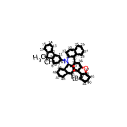 CC(C)(C)c1ccc(N(c2ccc3c(c2)-c2ccccc2C3(C)C)c2ccc3ccccc3c2-c2ccc3c(c2)oc2ccccc23)c2ccccc12